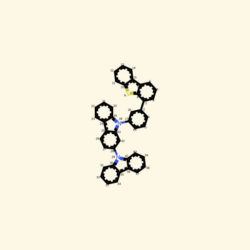 c1cc(-c2cccc3c2sc2ccccc23)cc(-n2c3ccccc3c3ccc(-n4c5ccccc5c5ccccc54)cc32)c1